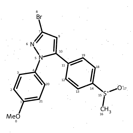 COc1ccc(-n2nc(Br)cc2-c2ccc([S+](C)[O-])cc2)cc1